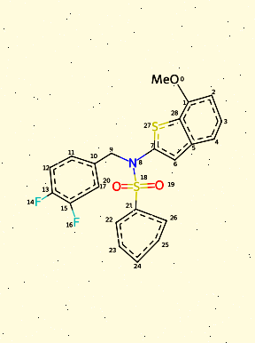 COc1cccc2cc(N(Cc3ccc(F)c(F)c3)S(=O)(=O)c3ccccc3)sc12